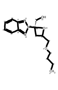 CCCCOCC1C[C@@](CO)(n2nc3ccccc3n2)O1